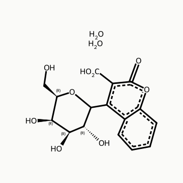 O.O.O=C(O)c1c(C2O[C@H](CO)[C@H](O)[C@H](O)[C@H]2O)c2ccccc2oc1=O